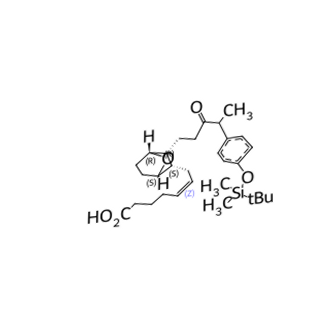 CC(C(=O)CC[C@@H]1[C@H](C/C=C\CCCC(=O)O)[C@@H]2CC[C@H]1O2)c1ccc(O[Si](C)(C)C(C)(C)C)cc1